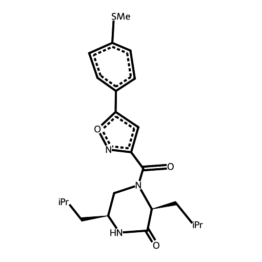 CSc1ccc(-c2cc(C(=O)N3C[C@H](CC(C)C)NC(=O)[C@@H]3CC(C)C)no2)cc1